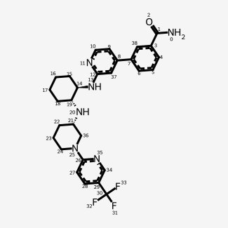 NC(=O)c1cccc(-c2ccnc(N[C@@H]3CCCC[C@H]3N[C@H]3CCCN(c4ccc(C(F)(F)F)cn4)C3)c2)c1